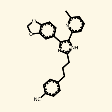 Cc1cccc(-c2[nH]c(CCCc3ccc(C#N)cc3)nc2-c2ccc3c(c2)OCO3)n1